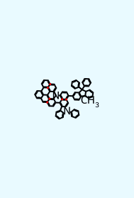 CC12C=CC=CC1C(c1ccccc1)(c1ccccc1)c1cc(-c3ccc(N(c4ccccc4-c4cccc5cccc(-c6ccccc6)c45)c4ccccc4-c4cccc5c4c4ccccc4n5-c4ccccc4)cc3)ccc12